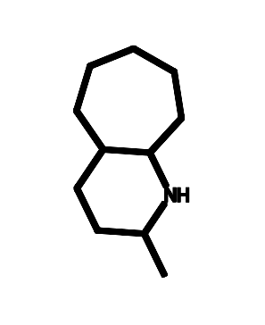 CC1CCC2CCCCCC2N1